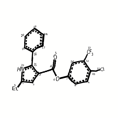 CCc1cc(C(=O)Oc2ccc(Cl)c(C(F)(F)F)c2)c(-c2ccccc2)[nH]1